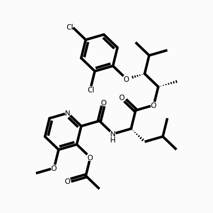 COc1ccnc(C(=O)N[C@@H](CC(C)C)C(=O)O[C@@H](C)[C@H](Oc2ccc(Cl)cc2Cl)C(C)C)c1OC(C)=O